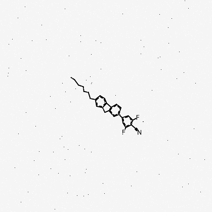 CCCCCCCc1ccc2c(c1)Cc1cc(-c3cc(F)c(C#N)c(F)c3)ccc1-2